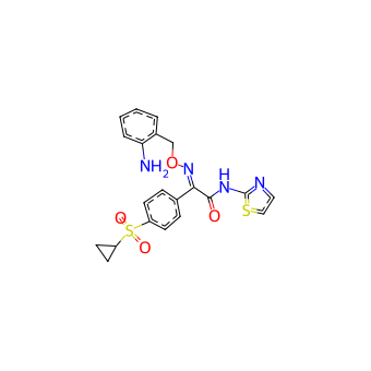 Nc1ccccc1CO/N=C(/C(=O)Nc1nccs1)c1ccc(S(=O)(=O)C2CC2)cc1